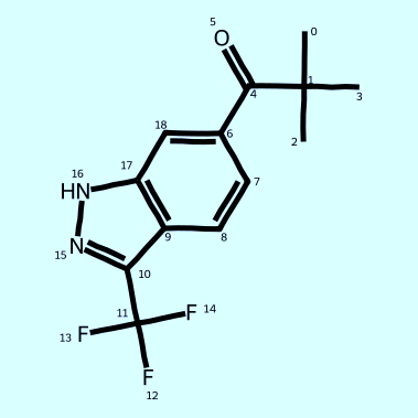 CC(C)(C)C(=O)c1ccc2c(C(F)(F)F)n[nH]c2c1